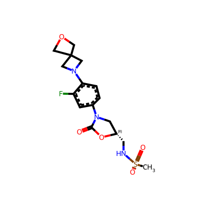 CS(=O)(=O)NC[C@H]1CN(c2ccc(N3CC4(COC4)C3)c(F)c2)C(=O)O1